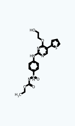 CCOC(=O)N=[SH](=O)c1ccc(Nc2ncc(-c3cccs3)c(OCCO)n2)cc1